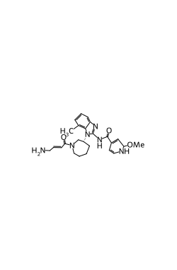 COC1C=C(C(=O)Nc2nc3cccc(C)c3n2[C@@H]2CCCCN(C(=O)/C=C/CN)C2)C=CN1